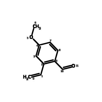 C=Cc1cc(OC)ccc1C=O